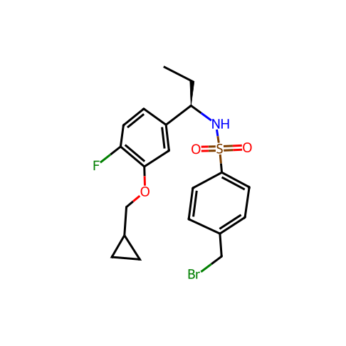 CC[C@@H](NS(=O)(=O)c1ccc(CBr)cc1)c1ccc(F)c(OCC2CC2)c1